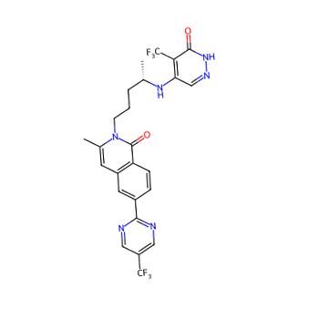 Cc1cc2cc(-c3ncc(C(F)(F)F)cn3)ccc2c(=O)n1CCC[C@H](C)Nc1cn[nH]c(=O)c1C(F)(F)F